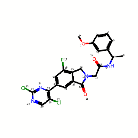 COc1cccc([C@@H](C)NC(=O)CN2Cc3c(F)cc(-c4nc(Cl)ncc4Cl)cc3C2=O)c1